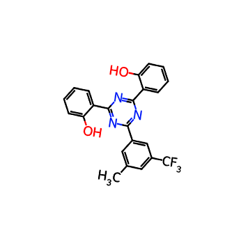 Cc1cc(-c2nc(-c3ccccc3O)nc(-c3ccccc3O)n2)cc(C(F)(F)F)c1